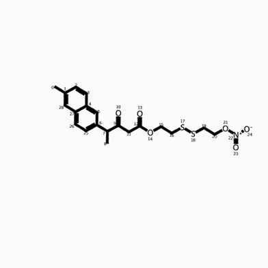 Cc1ccc2cc(C(C)C(=O)CC(=O)OCCSSCCO[N+](=O)[O-])ccc2c1